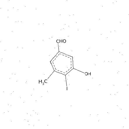 Cc1cc(C=O)cc(O)c1I